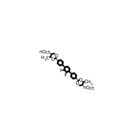 CCCCCCCC[C@@H]1CO[C@@H](c2ccc(-c3ccc(-c4ccc([C@@H]5OC[C@@H](CCCCCCCC)C(C)O5)cc4)c(F)c3F)cc2)OC1C